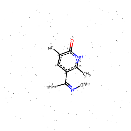 CCCCCC/C(=N/OC)c1cc(C#N)c(=O)[nH]c1C